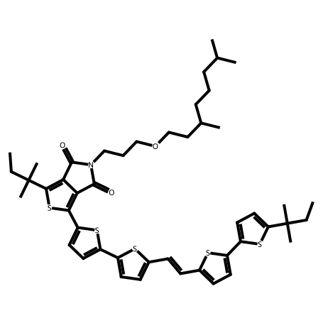 CCC(C)(C)c1ccc(-c2ccc(/C=C/c3ccc(-c4ccc(-c5sc(C(C)(C)CC)c6c5C(=O)N(CCCOCCC(C)CCCC(C)C)C6=O)s4)s3)s2)s1